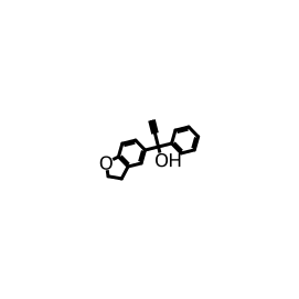 C#CC(O)(c1ccccc1)c1ccc2c(c1)CCO2